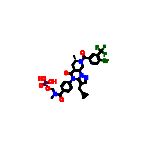 C[C@H]1Cc2c(n3ncc(CC4CC4)c3n(-c3ccc(C(=O)N(C)COP(=O)(O)O)cc3)c2=O)CN1C(=O)c1ccc(Br)c(C(F)(F)F)c1